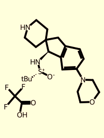 CC(C)(C)[S@@+]([O-])N[C@@H]1c2cc(N3CCOCC3)ccc2CC12CCNCC2.O=C(O)C(F)(F)F